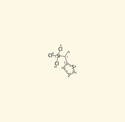 CC(c1cccs1)[Si](Cl)(Cl)Cl